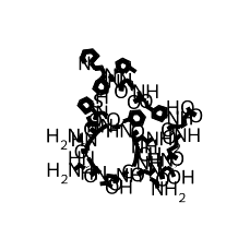 CNC(=O)c1ccccc1Sc1ccc2c(/C=C/c3ccccn3)nn(C(=O)N(CCNC(=O)OCc3ccc(NC(=O)C(CCC(=O)O)NC(=O)CCC(=O)NC(C(=O)N[C@H](CCN)C(=O)N[C@@H]4CCNC(=O)C(C(C)O)NC(=O)[C@H](CCN)NC(=O)[C@H](CCN)NC(=O)[C@H](CC(C)C)NC(=O)[C@@H](Cc5ccccc5)NC(=O)C(CCN)NC4=O)[C@H](C)O)cc3)c3c(C)cccc3C)c2c1